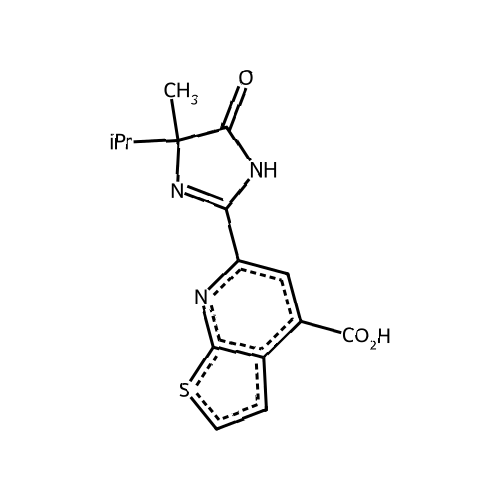 CC(C)C1(C)N=C(c2cc(C(=O)O)c3ccsc3n2)NC1=O